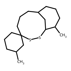 CC1CCCC2(CCCC3CCCC(C)C(C3)SS2)C1